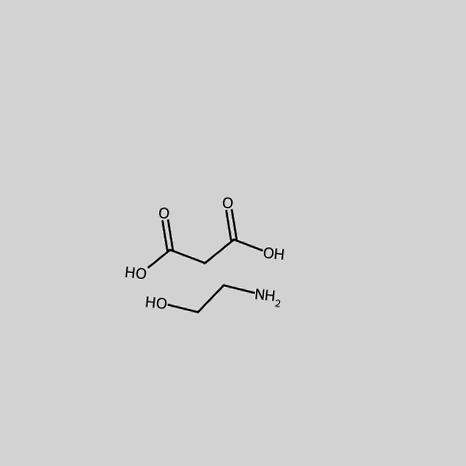 NCCO.O=C(O)CC(=O)O